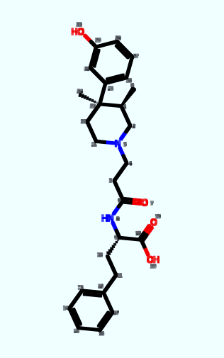 C[C@H]1CN(CCC(=O)N[C@@H](CCc2ccccc2)C(=O)O)CC[C@@]1(C)c1cccc(O)c1